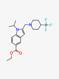 CCOC(=O)c1ccc2c(c1)cc(CN1CCC(C(F)(F)F)CC1)n2C(C)C